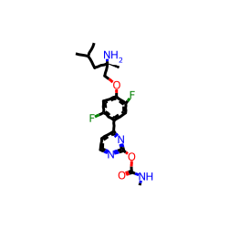 CNC(=O)Oc1nccc(-c2cc(F)c(OC[C@@](C)(N)CC(C)C)cc2F)n1